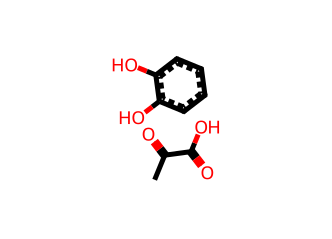 CC(=O)C(=O)O.Oc1ccccc1O